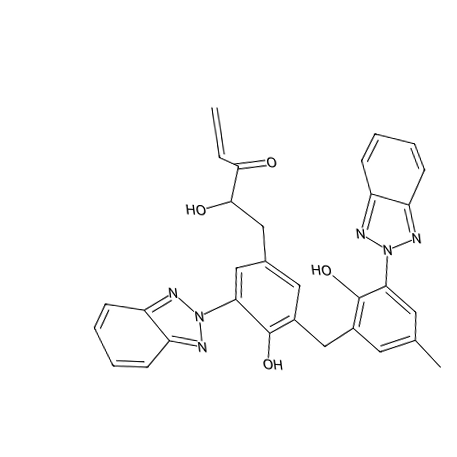 C=CC(=O)C(O)Cc1cc(Cc2cc(C)cc(-n3nc4ccccc4n3)c2O)c(O)c(-n2nc3ccccc3n2)c1